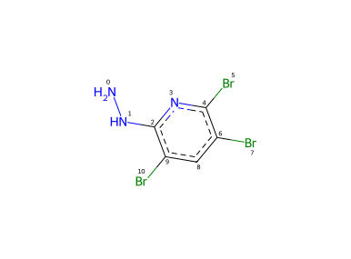 NNc1nc(Br)c(Br)cc1Br